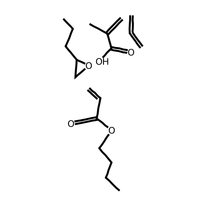 C=C(C)C(=O)O.C=C=C.C=CC(=O)OCCCC.CCCC1CO1